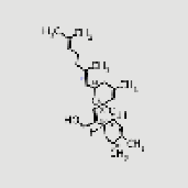 CC(C)=CCC/C(C)=C/[C@H]1CC(C)=C[C@@]2(C=C(CO)[C@@H]3C[C@@H](C)C(C)=C[C@@H]3O2)O1